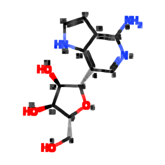 Nc1ncc([C@@H]2O[C@H](CO)[C@@H](O)[C@H]2O)c2[nH]ccc12